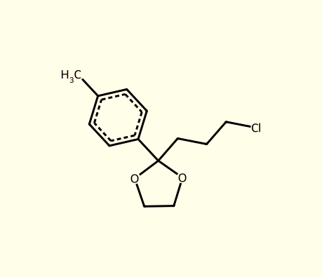 Cc1ccc(C2(CCCCl)OCCO2)cc1